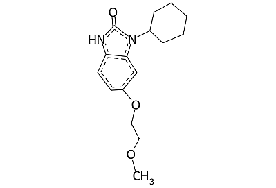 COCCOc1ccc2[nH]c(=O)n(C3CCCCC3)c2c1